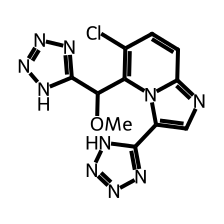 COC(c1nnn[nH]1)c1c(Cl)ccc2ncc(-c3nnn[nH]3)n12